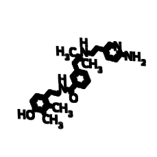 Cc1c(O)ccc(CCNC(=O)c2cccc(CC(C)(C)NCCc3ccc(N)nc3)c2)c1C